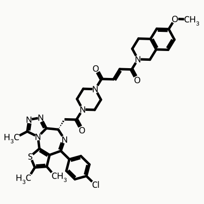 COc1ccc2c(c1)CCN(C(=O)/C=C/C(=O)N1CCN(C(=O)C[C@@H]3N=C(c4ccc(Cl)cc4)c4c(sc(C)c4C)-n4c(C)nnc43)CC1)C2